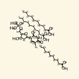 CCCCCCCCCC(=O)O.CCCCCCCCCC(=O)O.CCCCCCCCCC(=O)O.Cc1cn([C@H]2C[C@H](O)[C@@H](COP(=O)(O)O)O2)c(=O)[nH]c1=O